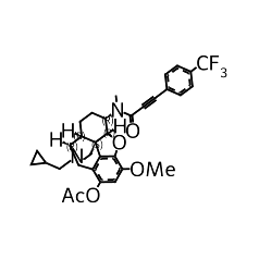 COc1cc(OC(C)=O)c2c3c1O[C@H]1[C@H](N(C)C(=O)C#Cc4ccc(C(F)(F)F)cc4)CC[C@H]4[C@@H](C2)N(CC2CC2)CC[C@@]341